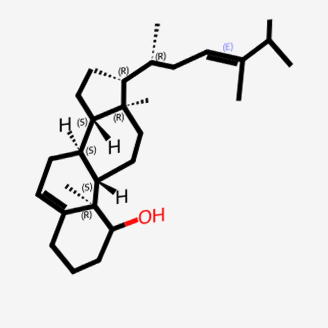 C/C(=C\C[C@@H](C)[C@H]1CC[C@H]2[C@@H]3CC=C4CCCC(O)[C@]4(C)[C@H]3CC[C@]12C)C(C)C